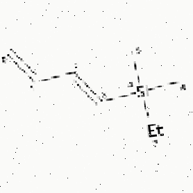 C=CC=C[Si](C)(C)CC